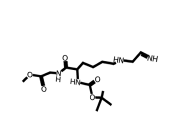 COC(=O)CNC(=O)C(CCCCNCC=N)NC(=O)OC(C)(C)C